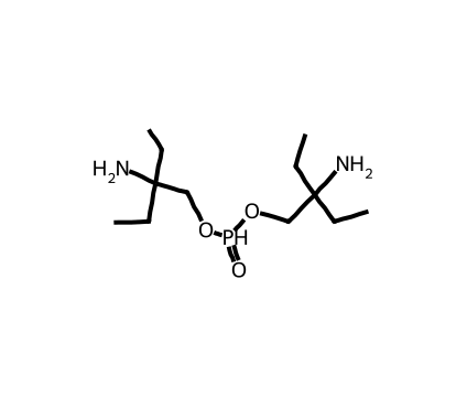 CCC(N)(CC)CO[PH](=O)OCC(N)(CC)CC